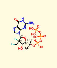 CC(C)(OP(=O)(O)OP(=O)(O)OP(=O)(O)O)[C@H]1O[C@@H](n2cnc3c(=O)[nH]c(N)nc32)[C@@](F)(CF)C1O